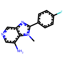 Cn1c(-c2ccc(F)cc2)nc2cncc(N)c21